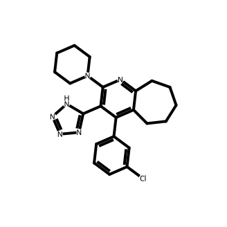 Clc1cccc(-c2c3c(nc(N4CCCCC4)c2-c2nnn[nH]2)CCCCC3)c1